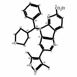 CCOC(=O)c1ccc2c3ncc(-c4c(C)noc4C)cc3n(C(c3ccccc3)C3CCOCC3)c2n1